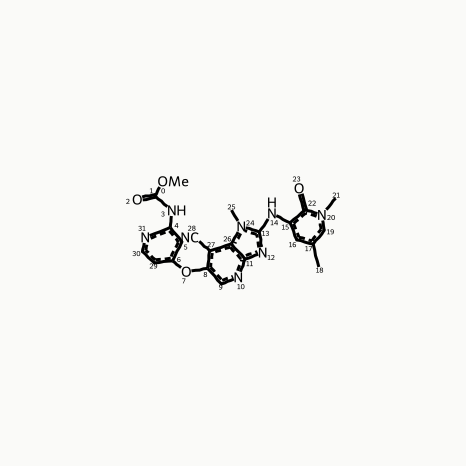 COC(=O)Nc1cc(Oc2cnc3nc(Nc4cc(C)cn(C)c4=O)n(C)c3c2C#N)ccn1